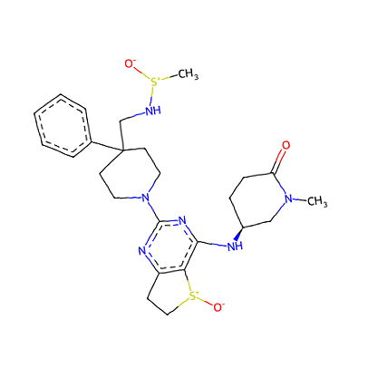 CN1C[C@@H](Nc2nc(N3CCC(CN[S+](C)[O-])(c4ccccc4)CC3)nc3c2[S+]([O-])CC3)CCC1=O